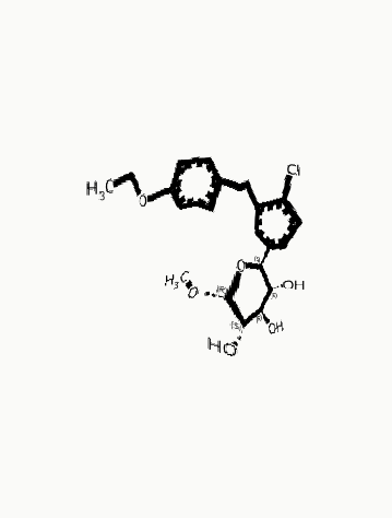 CCOc1ccc(Cc2cc([C@@H]3O[C@@H](OC)[C@@H](O)[C@H](O)[C@H]3O)ccc2Cl)cc1